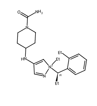 CCc1ccccc1[C@@H](CC)[N+]1(CC)C=C(NC2CCN(C(N)=O)CC2)C=N1